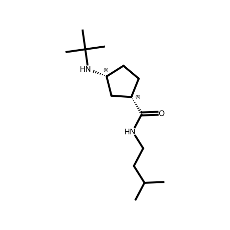 CC(C)CCNC(=O)[C@H]1CC[C@@H](NC(C)(C)C)C1